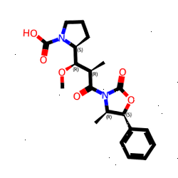 CO[C@H]([C@@H](C)C(=O)N1C(=O)O[C@@H](c2ccccc2)[C@H]1C)[C@@H]1CCCN1C(=O)O